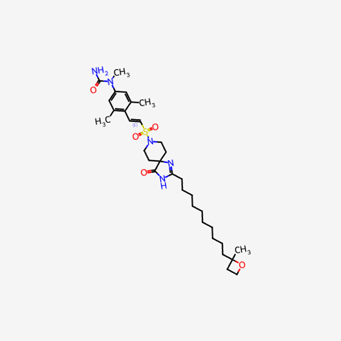 Cc1cc(N(C)C(N)=O)cc(C)c1/C=C/S(=O)(=O)N1CCC2(CC1)N=C(CCCCCCCCCCC1(C)CCO1)NC2=O